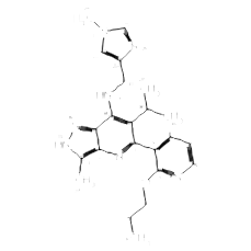 CCCOc1ncccc1-c1nc2c(C)[nH]nc2c(NCc2cn(C)cn2)c1C(C)C